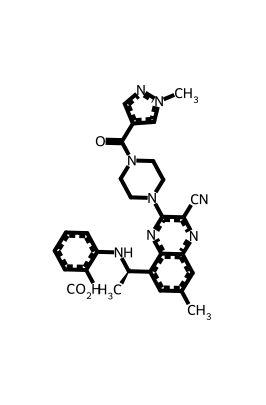 Cc1cc([C@@H](C)Nc2ccccc2C(=O)O)c2nc(N3CCN(C(=O)c4cnn(C)c4)CC3)c(C#N)nc2c1